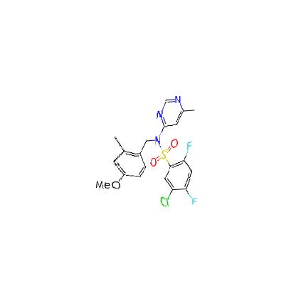 COc1ccc(CN(c2cc(C)ncn2)S(=O)(=O)c2cc(Cl)c(F)cc2F)c(C)c1